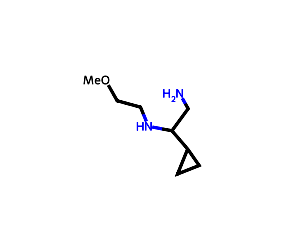 COCCNC(CN)C1CC1